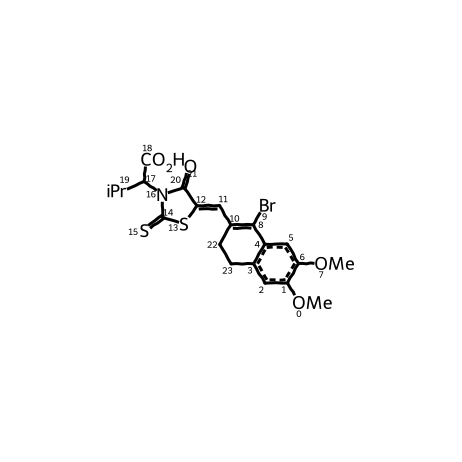 COc1cc2c(cc1OC)C(Br)=C(/C=C1\SC(=S)N(C(C(=O)O)C(C)C)C1=O)CC2